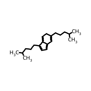 CC(C)CCCC1=CC2=CC=C(CCCC(C)C)C2=CC1